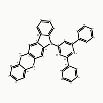 c1ccc(-c2cc(-n3c4ccccc4c4cc5c(cc43)Oc3ccccc3O5)nc(-c3ccccc3)n2)cc1